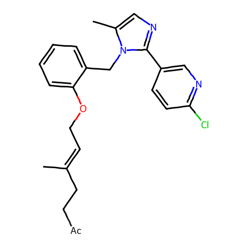 CC(=O)CC/C(C)=C/COc1ccccc1Cn1c(C)cnc1-c1ccc(Cl)nc1